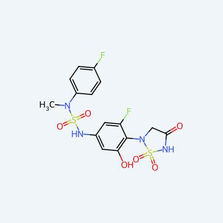 CN(c1ccc(F)cc1)S(=O)(=O)Nc1cc(O)c(N2CC(=O)NS2(=O)=O)c(F)c1